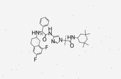 CC1(C)CC(NC(=O)C(C)(C)n2cnc(NC(=O)[C@@H](NC3CCc4cc(F)cc(F)c4C3)c3ccccc3)c2)CC(C)(C)C1